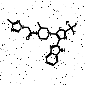 Cc1ncn(CC(=O)N2CCN(c3sc(C(F)(F)F)nc3-c3nc4ccccc4[nH]3)CC2C)n1